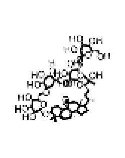 C[C@H](CC[C@@H](O[C@@H]1O[C@H](COC2O[C@H](CO)[C@@H](O)[C@H](O)[C@H]2O)[C@@H](O)[C@H](O)[C@H]1O)C(C)(C)O)C1CC[C@@]2(C)C3CC=C4C(CC[C@H](O[C@@H]5O[C@H](CO[C@@H]6C[C@H](CO)[C@@H](O)[C@H](O)[C@H]6O)[C@@H](O)[C@H](O)[C@H]5O)C4(C)C)[C@]3(C)C(=O)C[C@]12C